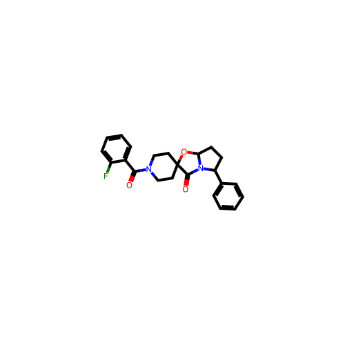 O=C(c1ccccc1F)N1CCC2(CC1)OC1CCC(c3ccccc3)N1C2=O